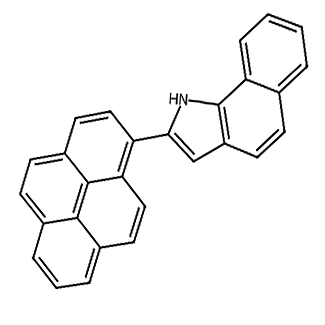 c1ccc2c(c1)ccc1cc(-c3ccc4ccc5cccc6ccc3c4c56)[nH]c12